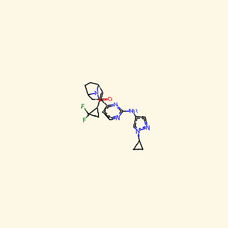 O=C(C1CC1(F)F)N1C2C=C(c3ccnc(Nc4cnn(C5CC5)c4)n3)CC1CC2